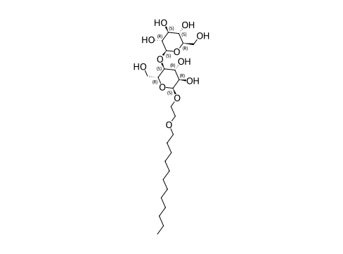 CCCCCCCCCCCCOCCO[C@H]1O[C@H](CO)[C@@H](O[C@@H]2O[C@H](CO)[C@@H](O)[C@H](O)[C@H]2O)[C@H](O)[C@H]1O